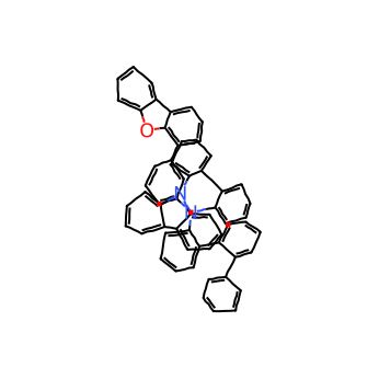 c1ccc(-c2ccccc2-c2ccccc2N(c2cccc(-c3cccc4c3oc3ccccc34)c2)c2ccccc2-c2ccccc2-n2c3ccccc3c3ccccc32)cc1